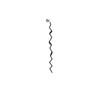 CCCCC/C=C/C/C=C/C/C=C/CCBr